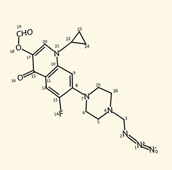 [N-]=[N+]=NCN1CCN(c2cc3c(cc2F)c(=O)c(OC=O)cn3C2CC2)CC1